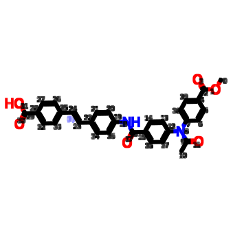 COC(=O)c1ccc(N(C(C)=O)c2ccc(C(=O)Nc3ccc(/C=C/c4ccc(C(=O)O)cc4)cc3)cc2)cc1